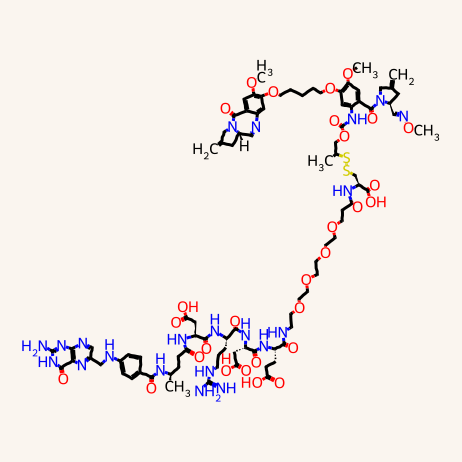 C=C1C[C@H]2C=Nc3cc(OCCCCCOc4cc(NC(=O)OCC(C)SSC[C@H](NC(=O)CCOCCOCCOCCOCCNC(=O)[C@H](CCC(=O)O)NC(=O)[C@H](CC(=O)O)NC(=O)[C@H](CCCNC(=N)N)NC(=O)[C@H](CC(=O)O)NC(=O)CC[C@@H](C)NC(=O)c5ccc(NCc6cnc7nc(N)[nH]c(=O)c7n6)cc5)C(=O)O)c(C(=O)N5CC(=C)C[C@H]5/C=N/OC)cc4OC)c(OC)cc3C(=O)N2C1